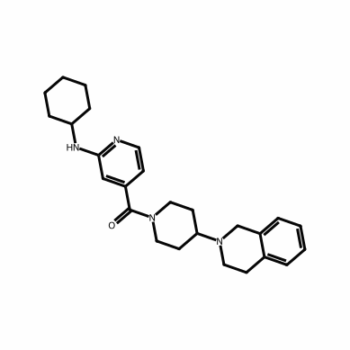 O=C(c1ccnc(NC2CCCCC2)c1)N1CCC(N2CCc3ccccc3C2)CC1